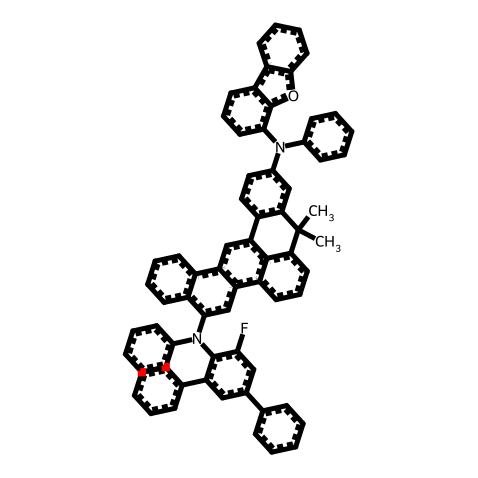 CC1(C)c2cc(N(c3ccccc3)c3cccc4c3oc3ccccc34)ccc2-c2cc3c4ccccc4c(N(c4ccccc4)c4c(F)cc(-c5ccccc5)cc4-c4ccccc4)cc3c3cccc1c23